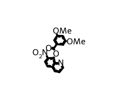 COc1cc(OC)cc(C(=O)Oc2c([N+](=O)[O-])ccc3cccnc23)c1